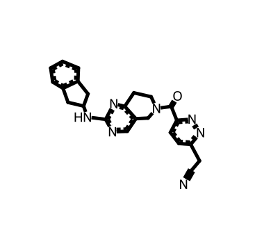 N#CCc1ccc(C(=O)N2CCc3nc(NC4Cc5ccccc5C4)ncc3C2)nn1